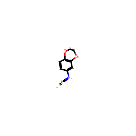 S=C=Nc1ccc2c(c1)OCCO2